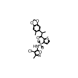 Cc1cc2c(cc1C(C)C(=O)c1sccc1S(=O)(=O)Nc1onc(C)c1Cl)OCO2